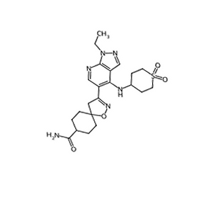 CCn1ncc2c(NC3CCS(=O)(=O)CC3)c(C3=NOC4(CCC(C(N)=O)CC4)C3)cnc21